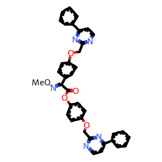 CON=C(C(=O)Oc1ccc(OCc2nccc(-c3ccccc3)n2)cc1)c1ccc(OCc2nccc(-c3ccccc3)n2)cc1